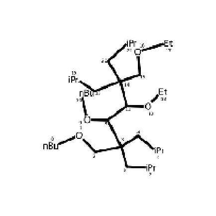 CCCCOCC(CC(C)C)(CC(C)C)C(OCCCC)C(OCC)C(COCC)(CC(C)C)CC(C)C